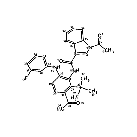 CC(=O)n1cc(C(=O)Nc2c(Nc3cccc(F)c3)ccc(C(=O)O)c2C(C)(C)C)c2ccccc21